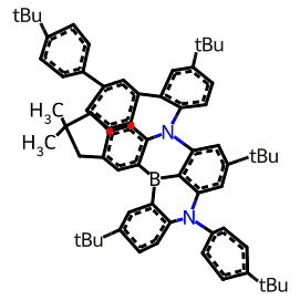 CC1(C)Cc2cc3c(cc2C1)N(c1ccc(C(C)(C)C)cc1-c1cccc(-c2ccc(C(C)(C)C)cc2)c1)c1cc(C(C)(C)C)cc2c1B3c1cc(C(C)(C)C)ccc1N2c1ccc(C(C)(C)C)cc1